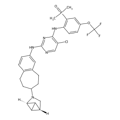 CP(C)(=O)c1cc(OC(F)(F)F)ccc1Nc1nc(Nc2ccc3c(c2)CCC(N2C[C@H]4C5C4[C@H]52)CC3)ncc1Cl